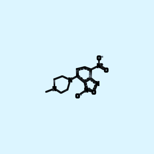 CN1CCN(c2ccc([N+](=O)[O-])c3no[n+]([O-])c23)CC1